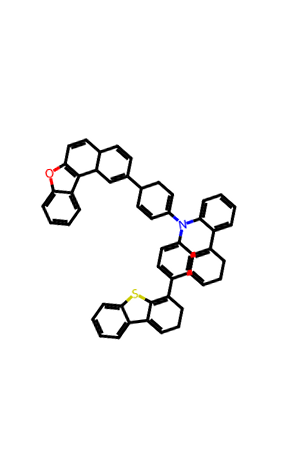 C1=CCCC(c2ccccc2N(C2=CCC(C3=CC4c5c(oc6ccccc56)C=CC4C=C3)C=C2)c2ccc(C3=c4sc5ccccc5c4=CCC3)cc2)=C1